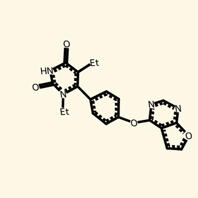 CCc1c(-c2ccc(Oc3ncnc4occc34)cc2)n(CC)c(=O)[nH]c1=O